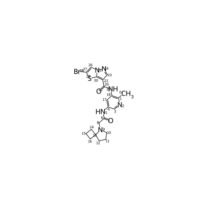 Cc1ncc(NC(=O)CN2CCCC23CCC3)cc1NC(=O)c1cnn2cc(Br)sc12